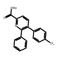 COC(=O)c1ccc(-c2ccc(C(F)(F)F)cc2)c(-c2ccccc2)n1